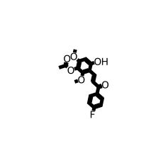 COc1cc(O)c(C=CC(=O)c2ccc(F)cc2)c(OC)c1OC(C)=O